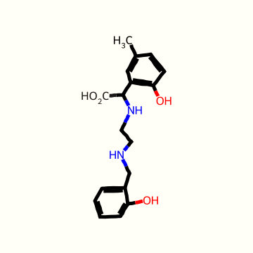 Cc1ccc(O)c(C(NCCNCc2ccccc2O)C(=O)O)c1